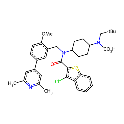 COc1ccc(-c2cc(C)nc(C)c2)cc1CN(C(=O)c1sc2ccccc2c1Cl)C1CCC(N(CC(C)(C)C)C(=O)O)CC1